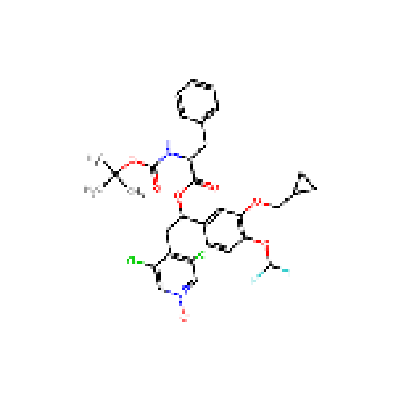 CC(C)(C)OC(=O)NC(Cc1ccccc1)C(=O)OC(Cc1c(Cl)c[n+]([O-])cc1Cl)c1ccc(OC(F)F)c(OCC2CC2)c1